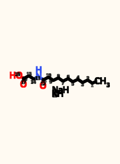 CCCCCCCCCCCC(=O)NCCC(=O)O.[KH].[NaH]